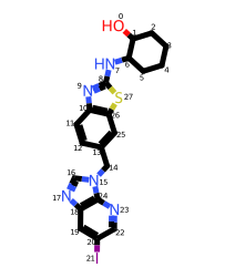 OC1CCCCC1Nc1nc2ccc(Cn3cnc4cc(I)cnc43)cc2s1